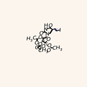 CC(=O)OC[C@H]1O[C@@H](n2cc(/C=C/I)c(=O)[nH]c2=O)[C@H](OC(C)=O)[C@H]1OS(C)(=O)=O